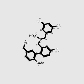 COc1ccc(CO)cc1-c1ccc(C(F)(F)F)cc1CN(Cc1cc(C(F)(F)F)cc(C(F)(F)F)c1)C(=O)O